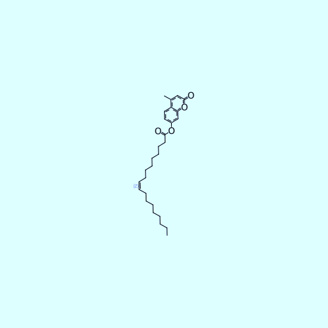 CCCCCCCC/C=C\CCCCCCCC(=O)Oc1ccc2c(C)cc(=O)oc2c1